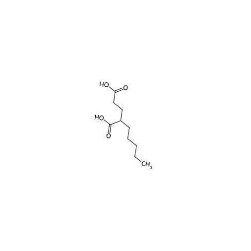 CCCCCC(CCC(=O)O)C(=O)O